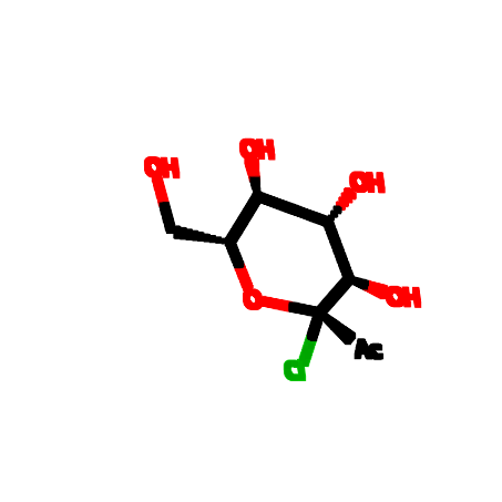 CC(=O)[C@@]1(Cl)O[C@H](CO)[C@@H](O)[C@H](O)[C@H]1O